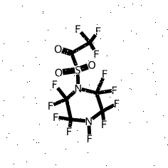 O=C(C(F)(F)F)S(=O)(=O)N1C(F)(F)C(F)(F)N(F)C(F)(F)C1(F)F